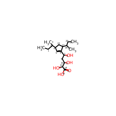 CCC(C)C1C=C(C(O)CC(O)C(O)C(=O)O)C(C(C)CC)C1